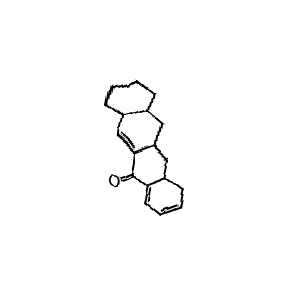 O=C1C2=CC=CCC2CC2CC3CCCCC3C=C12